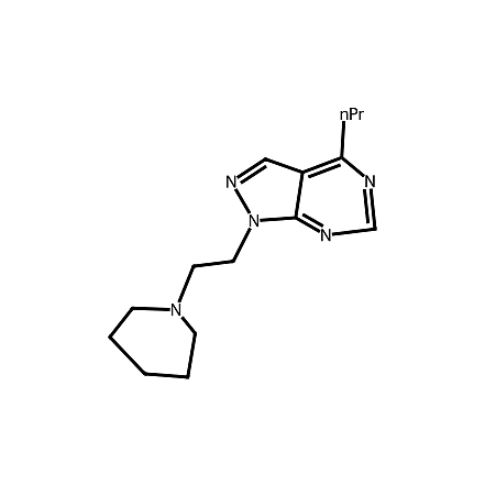 [CH2]CCc1ncnc2c1cnn2CCN1CCCCC1